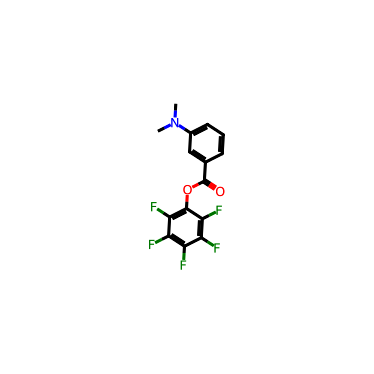 CN(C)c1cccc(C(=O)Oc2c(F)c(F)c(F)c(F)c2F)c1